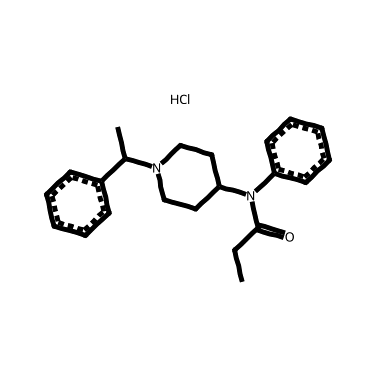 CCC(=O)N(c1ccccc1)C1CCN(C(C)c2ccccc2)CC1.Cl